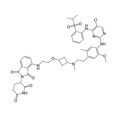 COc1cc(CCN(C)C2CC(OCCNc3cccc4c3C(=O)N(C3CCC(=O)NC3=O)C4=O)C2)c(C)cc1Nc1ncc(Cl)c(Nc2ccccc2S(=O)(=O)C(C)C)n1